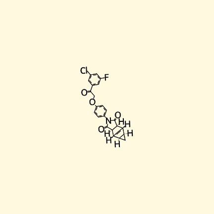 O=C(COc1ccc(N2C(=O)[C@@H]3[C@@H]4C=C[C@@H]([C@H]5C[C@@H]45)[C@@H]3C2=O)cc1)c1cc(F)cc(Cl)c1